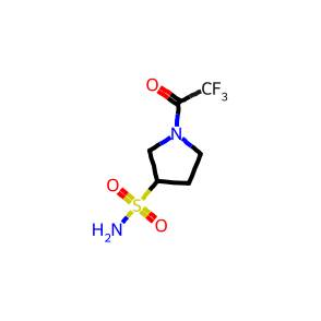 NS(=O)(=O)C1CCN(C(=O)C(F)(F)F)C1